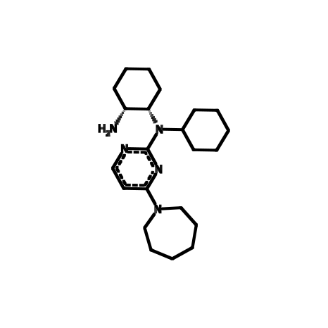 N[C@@H]1CCCC[C@@H]1N(c1nccc(N2CCCCCC2)n1)C1CCCCC1